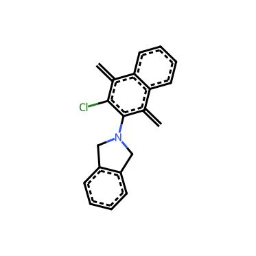 C=c1c(Cl)c(N2Cc3ccccc3C2)c(=C)c2ccccc12